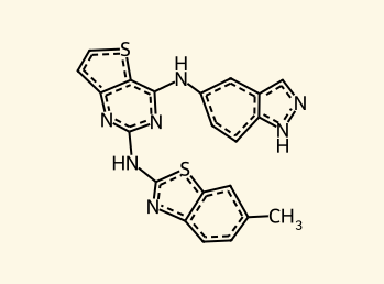 Cc1ccc2nc(Nc3nc(Nc4ccc5[nH]ncc5c4)c4sccc4n3)sc2c1